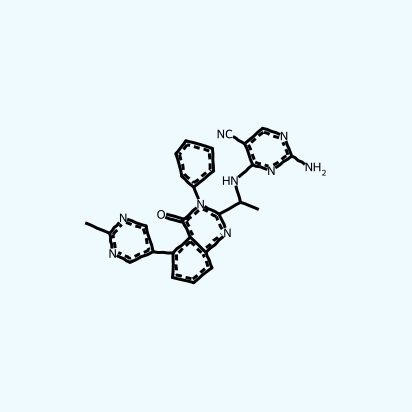 Cc1ncc(-c2cccc3nc(C(C)Nc4nc(N)ncc4C#N)n(-c4ccccc4)c(=O)c23)cn1